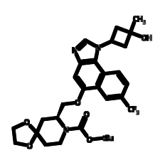 CC1(O)CC(n2cnc3cc(OC[C@@H]4CC5(CCN4C(=O)OC(C)(C)C)OCCO5)c4cc(C(F)(F)F)ccc4c32)C1